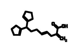 C=C(CC=CCCC(C1=CCCC1)C1=CCCC1)C(=O)O